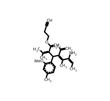 C#CCCOC(=C)C(=C(C)C)C(/C(C(=C)C)=C(C)/C(N)=C\C)c1ccc(C)cc1OC